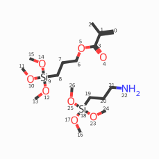 C=C(C)C(=O)OCCC[Si](OC)(OC)OC.CO[Si](CCCN)(OC)OC